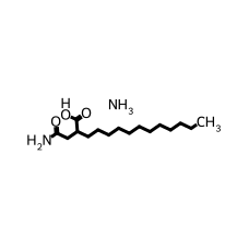 CCCCCCCCCCCCC(CC(N)=O)C(=O)O.N